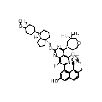 C#Cc1c(F)ccc2cc(O)cc(-c3nc(OC)c4c(N5CCOC[C@@](C)(O)C5)nc(OC[C@]56CCC[C@H]5N(C5CCC(OC)CC5)CCC6)nc4c3F)c12